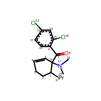 CC(C)C1CCC=CC1(C(=O)c1ccc(Cl)cc1Cl)N(C)C